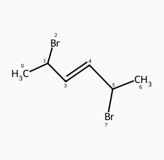 CC(Br)C=CC(C)Br